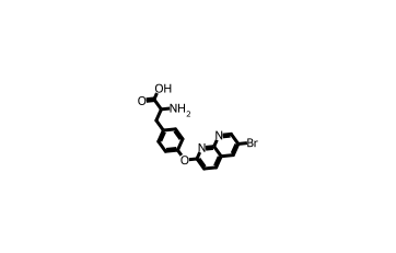 NC(Cc1ccc(Oc2ccc3cc(Br)cnc3n2)cc1)C(=O)O